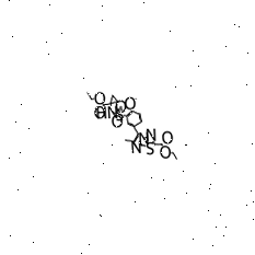 CCOC(=O)c1nn2c(-c3ccc(OC)c(S(=O)(=O)NC4(C(=O)OCC)CC4)c3)c(C)nc2s1